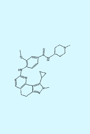 COc1cc(C(=O)NC2CCN(C)CC2)ccc1Nc1ncc2c(n1)-c1c(nn(C)c1C1CC1)CC2